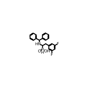 O=[PH](O)C(Cc1cc(F)cc(F)c1)NC(c1ccccc1)c1ccccc1